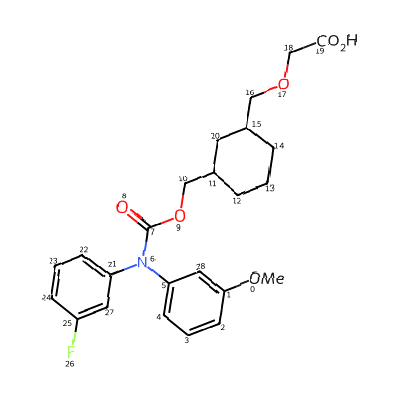 COc1cccc(N(C(=O)OCC2CCCC(COCC(=O)O)C2)c2cccc(F)c2)c1